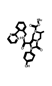 CC1Cn2c(c(C(=O)NCc3ccccc3-c3ncccn3)n(-c3ccc(O)cc3)c2=O)CN1C(=O)OC(C)(C)C